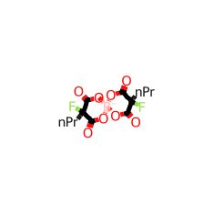 CCCC1(F)C(=O)O[B-]2(OC1=O)OC(=O)C(F)(CCC)C(=O)O2